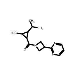 CC(C)C1C(C)C1C(=O)N1CC(c2ncccn2)C1